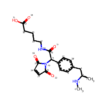 CNC(C)Cc1ccc(C(C(=O)NCCCCC(=O)O)N2C(=O)C=CC2=O)cc1